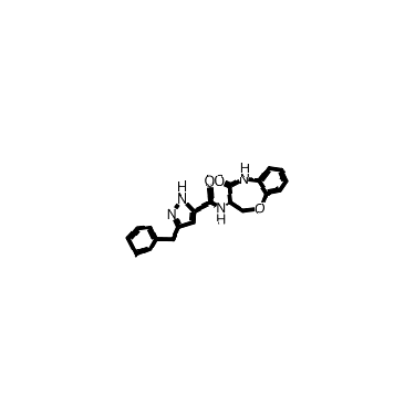 O=C(N[C@H]1COc2ccccc2NC1=O)c1cc(Cc2ccccc2)n[nH]1